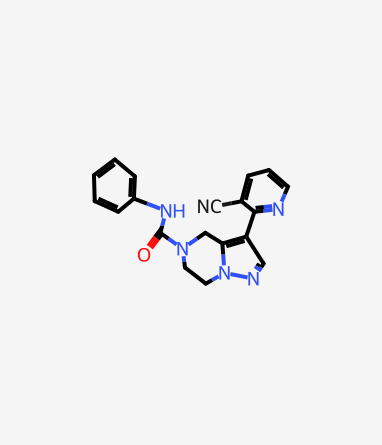 N#Cc1cccnc1-c1cnn2c1CN(C(=O)Nc1ccccc1)CC2